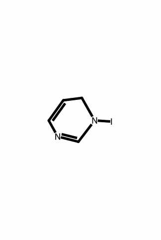 IN1C=NC=CC1